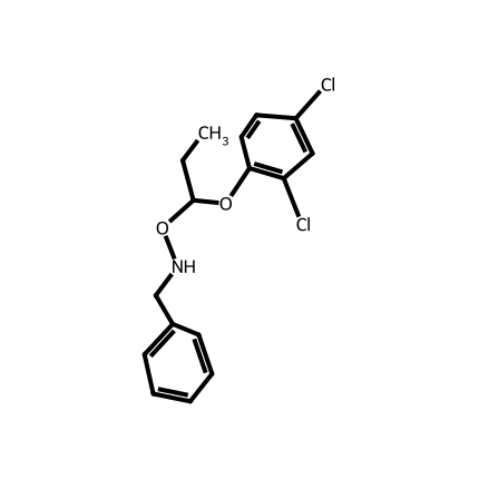 CCC(ONCc1ccccc1)Oc1ccc(Cl)cc1Cl